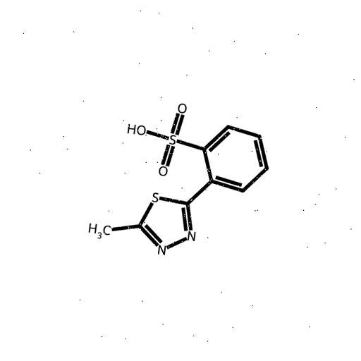 Cc1nnc(-c2ccccc2S(=O)(=O)O)s1